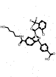 O=C(O)c1ccc(-c2nn(C(=O)c3c(Cl)cccc3C(F)(F)F)c3cc(C(=O)NCCCCO)ccc23)cc1